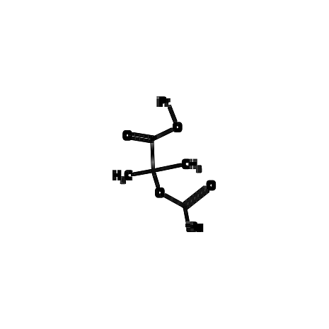 CC(C)OC(=O)C(C)(C)OC(=O)C(C)(C)C